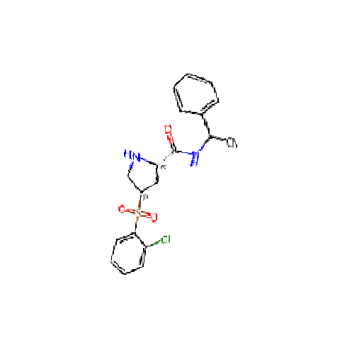 N#CC(NC(=O)[C@@H]1C[C@@H](S(=O)(=O)c2ccccc2Cl)CN1)c1ccccc1